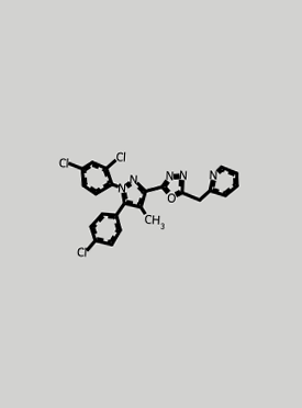 Cc1c(-c2nnc(Cc3ccccn3)o2)nn(-c2ccc(Cl)cc2Cl)c1-c1ccc(Cl)cc1